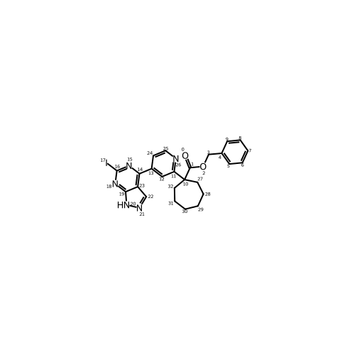 O=C(OCc1ccccc1)C1(c2cc(-c3nc(I)nc4[nH]ncc34)ccn2)CCCCCC1